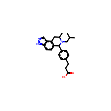 CC(C)CN1C(C)Cc2c(ccc3[nH]ncc23)C1c1ccc(CCC(=O)O)cc1